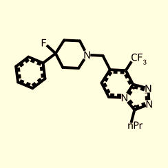 CCCc1nnc2c(C(F)(F)F)c(CN3CCC(F)(c4ccccc4)CC3)ccn12